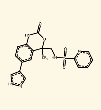 O=C1Nc2ccc(-c3cn[nH]c3)cc2C(CNS(=O)(=O)c2ccccn2)(C(F)(F)F)O1